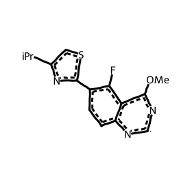 COc1n[c]nc2ccc(-c3nc(C(C)C)cs3)c(F)c12